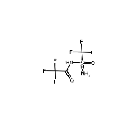 N[SH](=O)(NC(=O)C(F)(F)F)C(F)(F)F